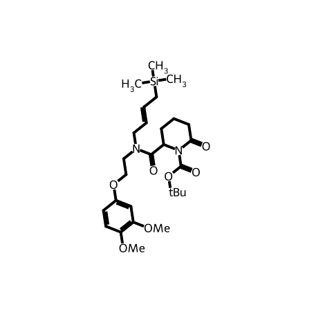 COc1ccc(OCCN(CC=CC[Si](C)(C)C)C(=O)C2CCCC(=O)N2C(=O)OC(C)(C)C)cc1OC